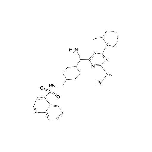 CC(C)Nc1nc(C(N)C2CCC(CNS(=O)(=O)c3cccc4ccccc34)CC2)nc(N2CCCCC2C)n1